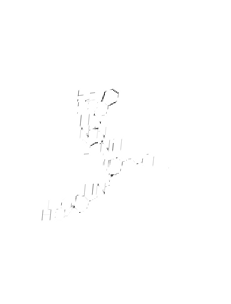 CCCC1C[C@@H](CNCC2CCC(O)(CO)CC2)C[C@H](CNc2nc(NCc3ccccc3OC(F)(F)F)ncc2F)C1